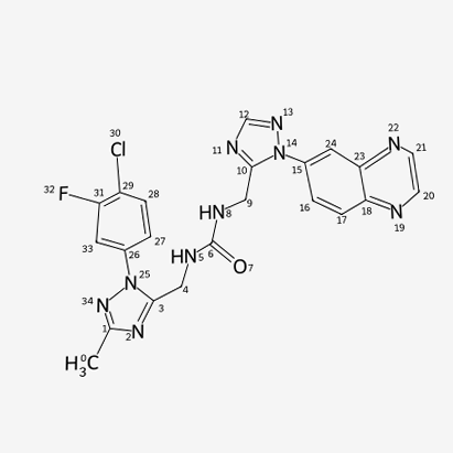 Cc1nc(CNC(=O)NCc2ncnn2-c2ccc3nccnc3c2)n(-c2ccc(Cl)c(F)c2)n1